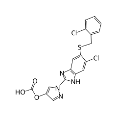 O=C(O)Oc1cnn(-c2nc3cc(SCc4ccccc4Cl)c(Cl)cc3[nH]2)c1